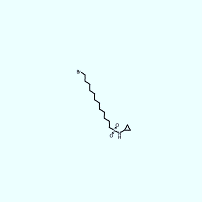 O=S(=O)(CCCCCCCCCCCCBr)NC1CC1